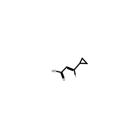 O=C(O)C=C(I)C1CC1